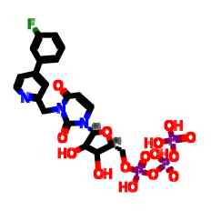 O=c1ccn([C@@H]2O[C@H](COP(=O)(O)OP(=O)(O)OP(=O)(O)O)C(O)C2O)c(=O)n1Cc1cc(-c2cccc(F)c2)ccn1